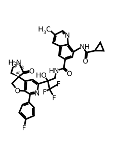 CC[C@]1(C(N)=O)COc2c1cc(C(O)(CNC(=O)c1cc(NC(=O)C3CC3)c3ncc(C)cc3c1)C(F)(F)F)nc2-c1ccc(F)cc1